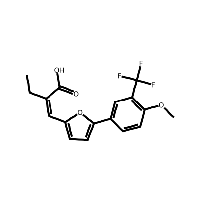 CCC(=Cc1ccc(-c2ccc(OC)c(C(F)(F)F)c2)o1)C(=O)O